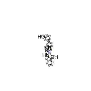 N=N/C(=C\NC1Cc2ccccc2C1O)CN1CCC(c2cccc(O)c2)CC1